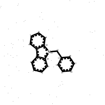 [c]1cccc2c3ccccc3n(Cc3ccccc3)c12